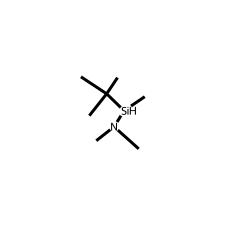 CN(C)[SiH](C)C(C)(C)C